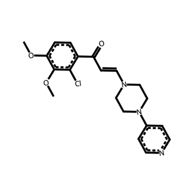 COc1ccc(C(=O)C=CN2CCN(c3ccncc3)CC2)c(Cl)c1OC